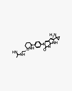 CC(=N)NCC[C@@H]1CCC[C@@H](c2ccc(-n3cc4cc(C5(N)CC5)[nH]c4nc3=O)cc2)N1